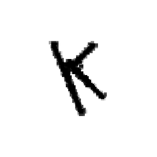 CC(C)CCCCCCCCCCOCCOCCOCCOCCOC(N)(COCCOCCCCCCCCCCC(C)C)CC(=O)O.CC(C)CCCCCCCCCCOCCOCCOCCOCCOC(N)COCCOCCCCCCCCCCC(C)C